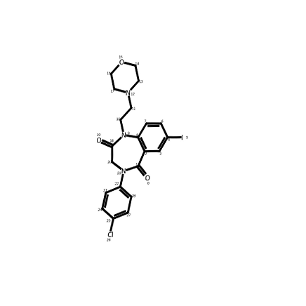 O=C1c2cc(I)ccc2N(CCN2CCOCC2)C(=O)CN1c1ccc(Cl)cc1